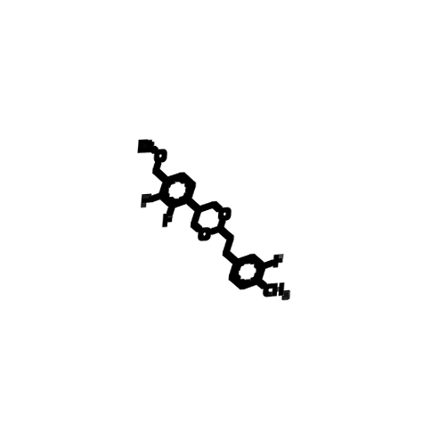 CCOCc1ccc(C2COC(CCc3ccc(C)c(F)c3)OC2)c(F)c1F